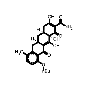 CCCCOc1ccc(C)c2c1C(=O)C1=C(O)[C@]3(O)C(=O)C(C(N)=O)=C(O)C[C@@H]3C[C@@H]1C2